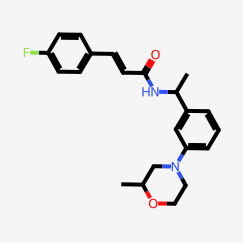 CC1CN(c2cccc(C(C)NC(=O)C=Cc3ccc(F)cc3)c2)CCO1